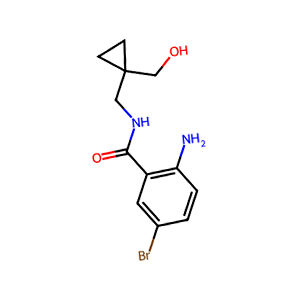 Nc1ccc(Br)cc1C(=O)NCC1(CO)CC1